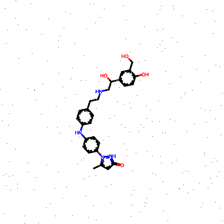 Cc1cc(=O)[nH]n1-c1ccc(Nc2ccc(CCNCC(O)c3ccc(O)c(CO)c3)cc2)cc1